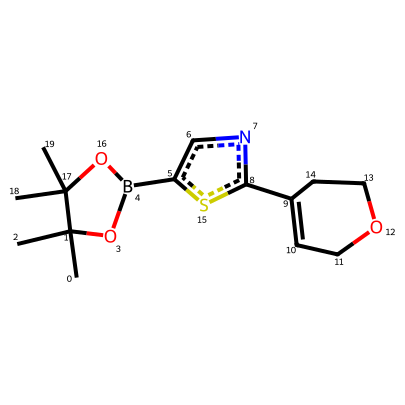 CC1(C)OB(c2cnc(C3=CCOCC3)s2)OC1(C)C